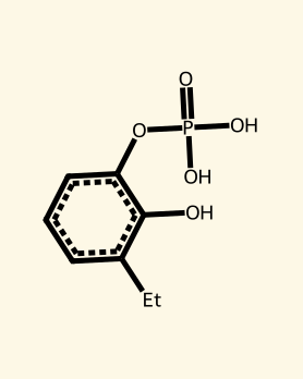 CCc1cccc(OP(=O)(O)O)c1O